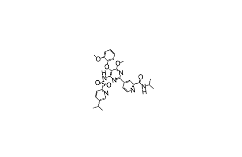 COc1ccccc1Oc1c(NS(=O)(=O)c2ccc(C(C)C)cn2)nc(-c2ccnc(C(=O)NC(C)C)c2)nc1OC